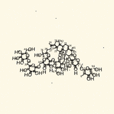 C[C@H]1[C@@H](OC[C@H]2O[C@@H](O[C@H]3CCC4C(=CCC5[C@@]4(C)[C@H](O)C[C@]4(C)C([C@H](C)CC[C@@H](O[C@@H]6O[C@H](CO[C@@H]7O[C@H](CO[C@@H]8O[C@H](CO)[C@@H](O)[C@H](O)[C@H]8O)[C@@H](O)[C@H](O)[C@H]7O)[C@@H](O)[C@H](O)[C@H]6O[C@@H]6O[C@H](CO)[C@@H](O)[C@H](O)[C@H]6O)C(C)(C)O)CC[C@@]54C)C3(C)C)[C@H](O)[C@@H](O)[C@@H]2O)O[C@H](CO)[C@@H](O)[C@@H]1O